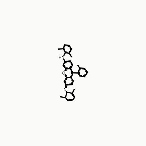 CC1=CC=CC(C)C1/N=c1\ccc2c(-c3ccccc3C)c3ccc(Nc4c(C)cccc4C)cc3oc-2c1